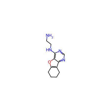 NCCNc1ncnc2c3c(oc12)CCCC3